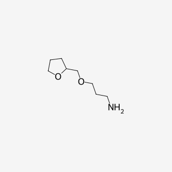 NCCCOCC1CCCO1